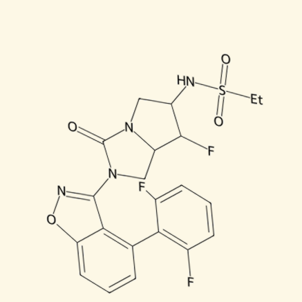 CCS(=O)(=O)NC1CN2C(=O)N(c3noc4cccc(-c5c(F)cccc5F)c34)CC2C1F